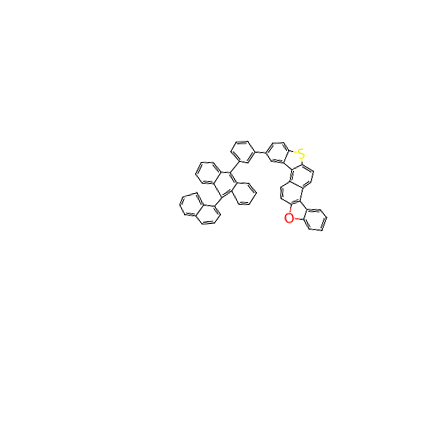 c1cc(-c2ccc3sc4ccc5c(ccc6oc7ccccc7c65)c4c3c2)cc(-c2c3ccccc3c(-c3cccc4ccccc34)c3ccccc23)c1